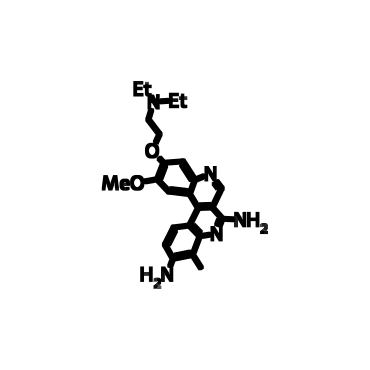 CCN(CC)CCOc1cc2ncc3c(N)nc4c(C)c(N)ccc4c3c2cc1OC